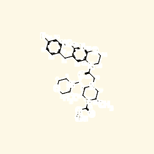 C[C@@H]1COCCN1C[C@H]1CN(C(=O)OC(C)(C)C)[C@H](C)CN1CC(=O)N1CCOc2nc(C#N)c(Cc3ccc(F)cc3)cc21